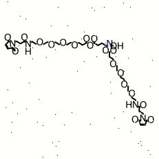 O=C(CCN1C(=O)C=CC1=O)NCCOCCOCCOCCOCCC(=O)OC(=O)CC/C(=N/O)OC(=O)CCOCCOCCOCCOCCNC(=O)CCN1C(=O)C=CC1=O